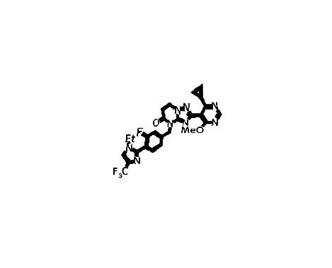 CCn1cc(C(F)(F)F)nc1-c1ccc(CN2C(=O)CCn3nc(-c4c(OC)ncnc4C4CC4)nc32)cc1F